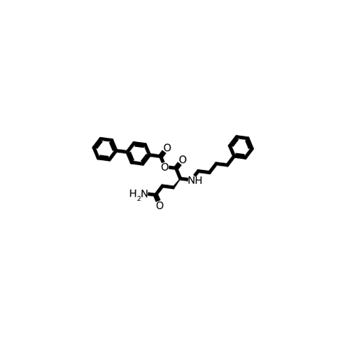 NC(=O)CC[C@H](NCCCCc1ccccc1)C(=O)OC(=O)c1ccc(-c2ccccc2)cc1